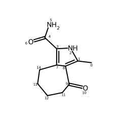 Cc1[nH]c(C(N)=O)c2c1C(=O)CCCC2